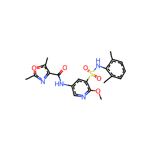 COc1ncc(NC(=O)c2nc(C)oc2C)cc1S(=O)(=O)Nc1c(C)cccc1C